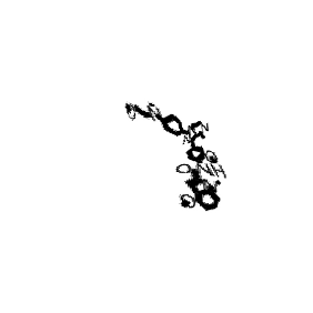 COCCN(C)C1CCC(c2nc(-c3ccc(NC(=O)c4cc5c(OC)cccc5n4C)c(OC)c3)c3c(C)nccn23)CC1